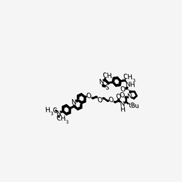 Cc1ncsc1-c1ccc([C@H](C)NC(=O)[C@@H]2CCCN2C(=O)C(NC(=O)COCCOCCOc2ccc3nc(-c4ccc(N(C)C)cc4)ccc3c2)C(C)(C)C)cc1